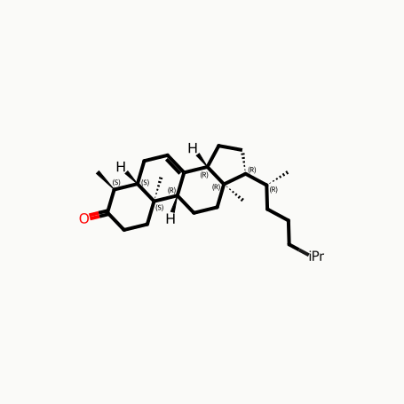 CC(C)CCC[C@@H](C)[C@H]1CC[C@H]2C3=CC[C@H]4[C@H](C)C(=O)CC[C@]4(C)[C@H]3CC[C@]12C